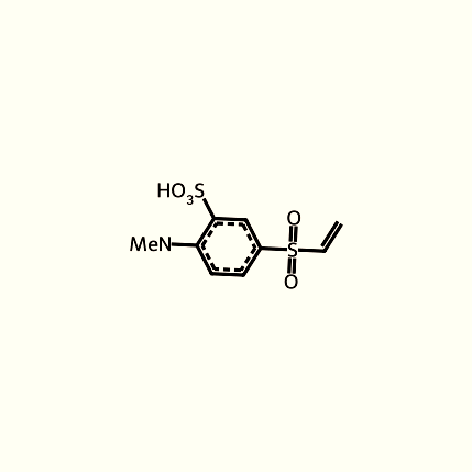 C=CS(=O)(=O)c1ccc(NC)c(S(=O)(=O)O)c1